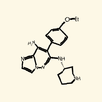 CCOc1ccc(-c2c(N[C@H]3CCCNC3)nn3ccnc3c2N)cc1